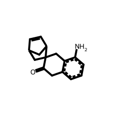 Nc1cccc2c1CC1(CC3C=CC1C3)C(=O)C2